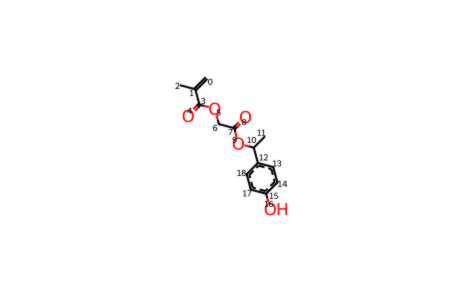 C=C(C)C(=O)OCC(=O)OC(C)c1ccc(O)cc1